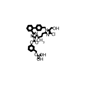 CCCCc1nc(Cl)c(CO)n1Cc1ccc(-c2ccccc2-c2nnn(C(=O)Oc3cccc(CON(O)O)c3)n2)cc1